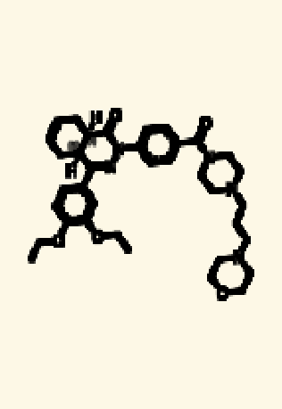 CCOc1ccc(C2=NN(c3ccc(C(=O)N4CCN(CCCN5CCOCC5)CC4)cc3)C(=O)[C@@H]3CC=CC[C@H]23)cc1OCC